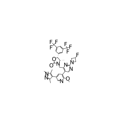 COc1ncc(-c2c(C)nn(C)c2C)cc1-c1cnc(N2CC(F)C2)nc1CN1C(=O)O[C@H](c2cc(C(F)(F)F)cc(C(F)(F)F)c2)[C@@H]1C